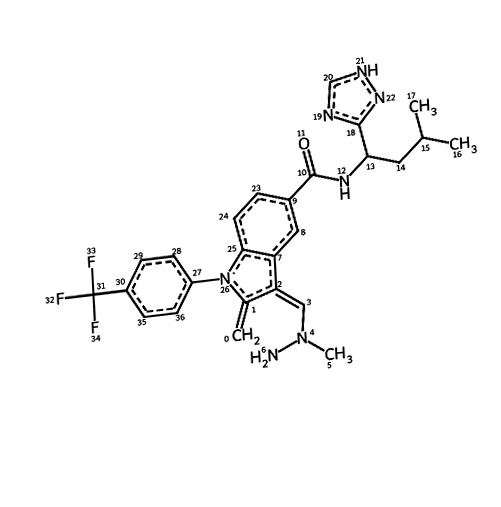 C=c1/c(=C\N(C)N)c2cc(C(=O)NC(CC(C)C)c3nc[nH]n3)ccc2n1-c1ccc(C(F)(F)F)cc1